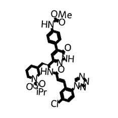 COC(=O)Nc1ccc(-c2cc([C@H](CC3CCCN(S(=O)(=O)C(C)C)C3)NC(=O)C=Cc3cc(Cl)ccc3-n3cnnn3)n[nH]c2=O)cc1